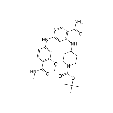 CNC(=O)c1ccc(Nc2cc(NC3CCN(C(=O)OC(C)(C)C)CC3)c(C(N)=O)cn2)cc1OC